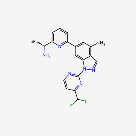 CCC[C@H](N)c1cccc(-c2cc(C)c3cnn(-c4nccc(C(F)F)n4)c3c2)n1